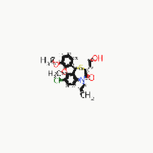 C=CCN1C(=O)[C@@H](CCO)S[C@H](c2cccc(OC)c2OC)c2cc(Cl)ccc21